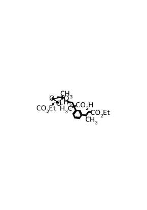 CCOC(=O)CC(C)c1cccc(C(C)(CCOC(C)(C)CS(=O)(=O)CC(=O)OCC)C(=O)O)c1